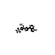 CN(C)S(=O)(=O)[C@H]1C[C@@](CC#N)(n2cc(-c3ncnc4[nH]ccc34)cn2)C1